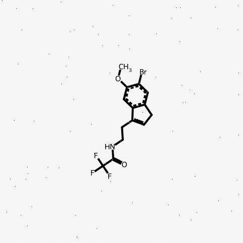 COc1cc2c(cc1Br)CC=C2CCNC(=O)C(F)(F)F